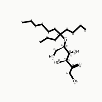 CCCCCCC(CCC)(CCCC)O[C@H](CO)[C@@H](O)[C@H](O)C(=O)CO